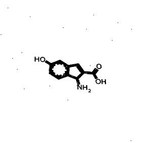 NC1C(C(=O)O)=Cc2cc(O)ccc21